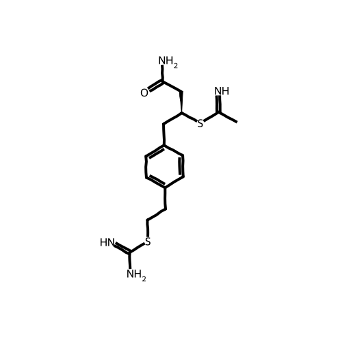 CC(=N)S[C@H](CC(N)=O)Cc1ccc(CCSC(=N)N)cc1